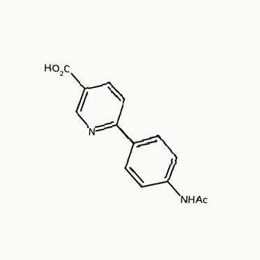 CC(=O)Nc1ccc(-c2ccc(C(=O)O)cn2)cc1